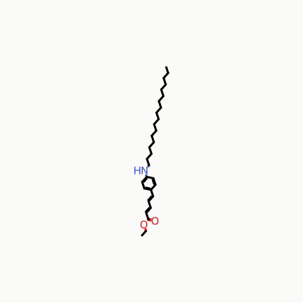 CCCCCCCCCCCCCCCCCCNc1ccc(/C=C/C=C/C(=O)OCC)cc1